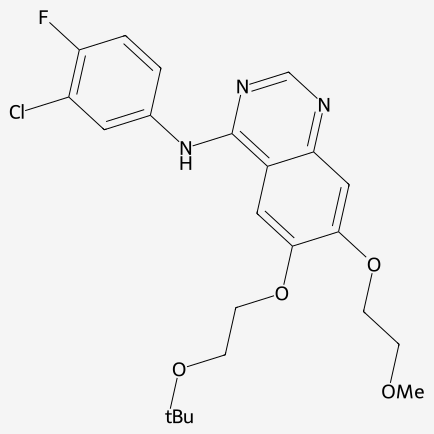 COCCOc1cc2ncnc(Nc3ccc(F)c(Cl)c3)c2cc1OCCOC(C)(C)C